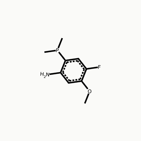 COc1cc(N)c(P(C)C)cc1F